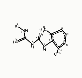 CCNC(=N)NC(=O)Nc1c(C)cccc1Cl